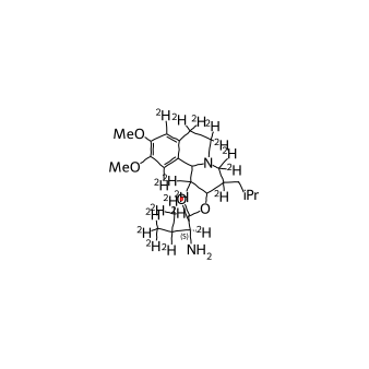 [2H]c1c(OC)c(OC)c([2H])c2c1C1N(C([2H])([2H])C2([2H])[2H])C([2H])([2H])C([2H])(CC(C)C)C(OC(=O)[C@@]([2H])(N)C([2H])(C([2H])([2H])[2H])C([2H])([2H])[2H])C1([2H])[2H]